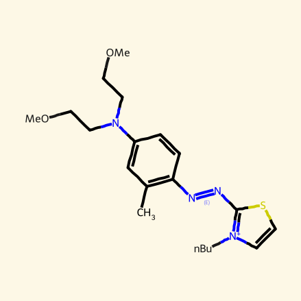 CCCC[n+]1ccsc1/N=N/c1ccc(N(CCOC)CCOC)cc1C